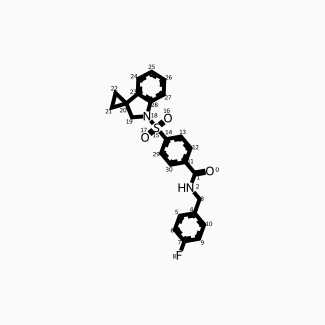 O=C(NCc1ccc(F)cc1)c1ccc(S(=O)(=O)N2CC3(CC3)c3ccccc32)cc1